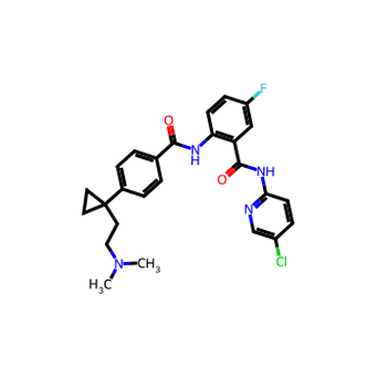 CN(C)CCC1(c2ccc(C(=O)Nc3ccc(F)cc3C(=O)Nc3ccc(Cl)cn3)cc2)CC1